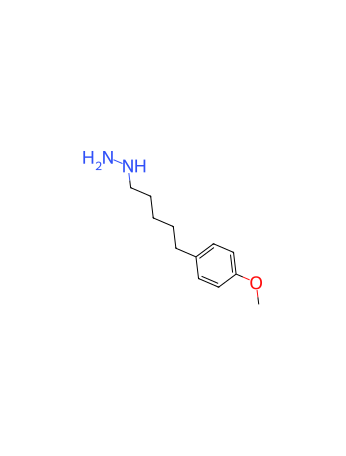 COc1ccc(CCCCCNN)cc1